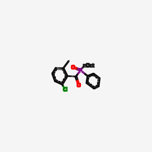 CCCCCCCCP(=O)(C(=O)c1c(C)cccc1Cl)c1ccccc1